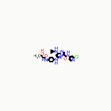 C[C@@H](O)CC(=O)NC1CCC(Nc2cc(NC3CC3)c3ncc(C(=O)Nc4ccnc(Cl)c4)n3n2)CC1